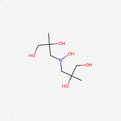 CC(O)(CO)CN(O)CC(C)(O)CO